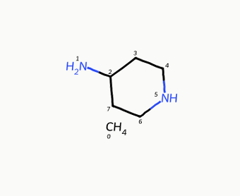 C.NC1CCNCC1